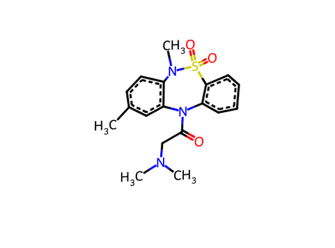 Cc1ccc2c(c1)N(C(=O)CN(C)C)c1ccccc1S(=O)(=O)N2C